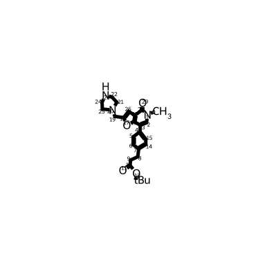 Cn1cc(-c2ccc(CCC(=O)OC(C)(C)C)cc2)c2oc(CN3CCNCC3)cc2c1=O